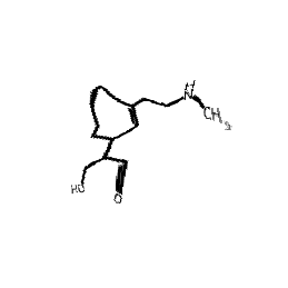 CNCCC1=CC(C(C=O)CO)CCC1